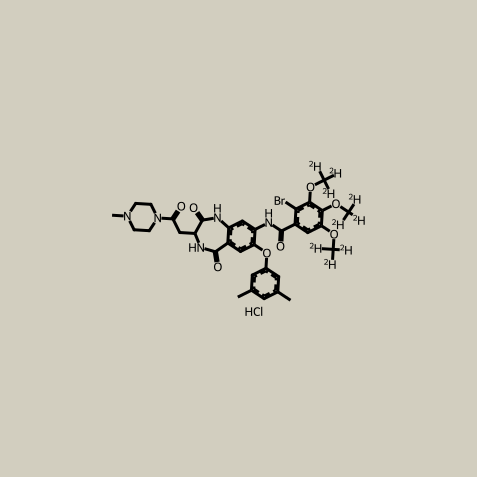 Cl.[2H]C([2H])([2H])Oc1cc(C(=O)Nc2cc3c(cc2Oc2cc(C)cc(C)c2)C(=O)NC(CC(=O)N2CCN(C)CC2)C(=O)N3)c(Br)c(OC([2H])([2H])[2H])c1OC([2H])([2H])[2H]